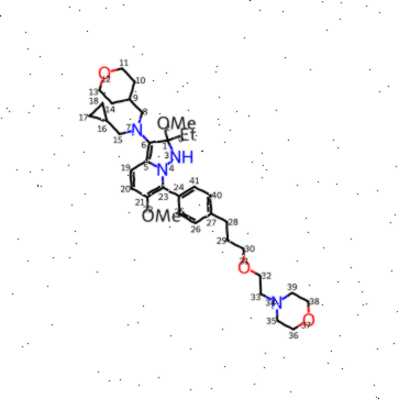 CCC1(OC)NN2C(=C1N(CC1CCOCC1)CC1CC1)C=CC(OC)=C2c1ccc(CCCOCCN2CCOCC2)cc1